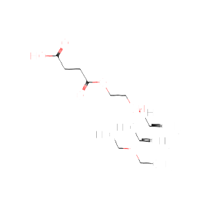 C=CC.C=CC.CCOCC.O=C(O)CCC(=O)OCCO